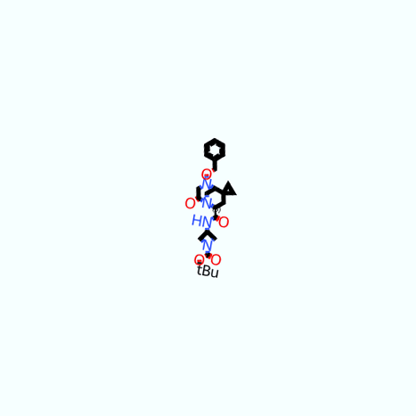 CC(C)(C)OC(=O)N1CC(NC(=O)[C@@H]2CC3(CC3)C3CN2C(=O)CN3OCc2ccccc2)C1